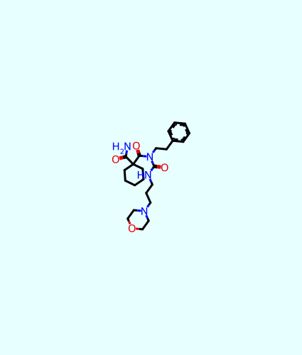 NC(=O)C1(C(=O)N(CCc2ccccc2)C(=O)NCCCN2CCOCC2)CCCCC1